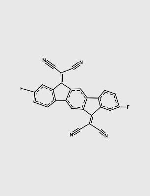 N#CC(C#N)=C1c2cc(F)ccc2-c2cc3c(cc21)-c1ccc(F)cc1C3=C(C#N)C#N